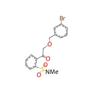 CNS(=O)(=O)c1ccccc1C(=O)COCc1cccc(Br)c1